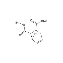 COC(=O)C1C2C=CC(C2)C1C(=O)OC(C)C